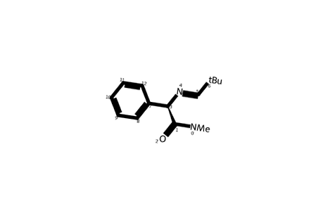 CNC(=O)[C@H](/N=C/C(C)(C)C)c1ccccc1